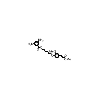 COC(=O)C=Cc1ccc(OCCCCCCOC(=O)c2cc(N)cc(N)c2)c(OC)c1